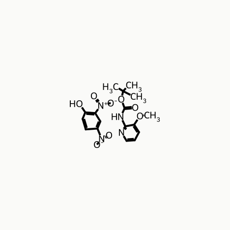 COc1cccnc1NC(=O)OC(C)(C)C.O=[N+]([O-])c1ccc(O)c([N+](=O)[O-])c1